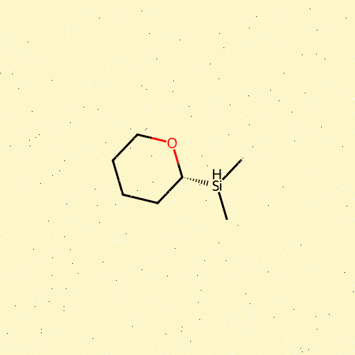 C[SiH](C)[C@@H]1CCCCO1